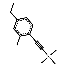 CCc1ccc(C#C[Si](C)(C)C)c(C)c1